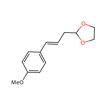 COc1ccc(C=CC[C]2OCCO2)cc1